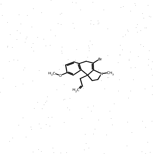 C=CCC12CCN(C)C1=C(Br)Cc1ccc(OC)cc12